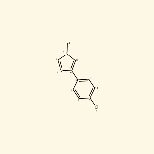 Cn1[c]nc(-c2ccc(Cl)cc2)c1